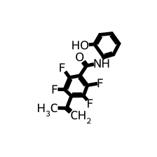 C=C(C)c1c(F)c(F)c(C(=O)Nc2ccccc2O)c(F)c1F